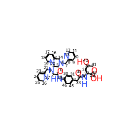 O=C(CN(CCN(Cc1ccccn1)Cc1ccccn1)Cc1ccccn1)Nc1ccc(CC(=O)N[C@@H]2C[C@H](O)COC2O)cc1